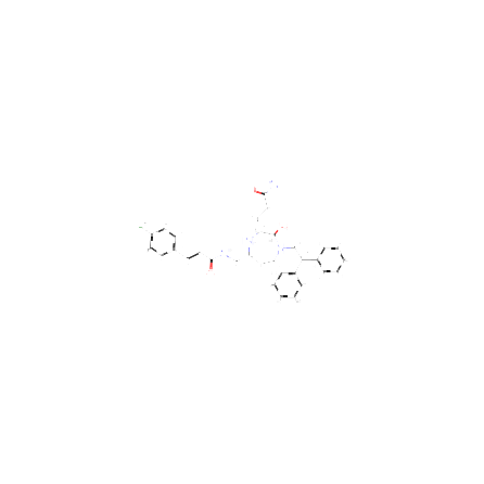 NC(=O)CC[C@@H]1N[C@H](CNC(=O)C=Cc2ccc(Cl)cc2)CCN(CC(c2ccccc2)c2ccccc2)C1=O